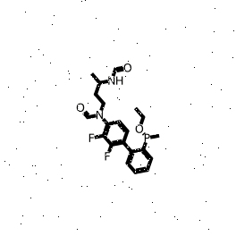 CCOP(C)c1ccccc1-c1ccc(N(C=O)CCC(C)NC=O)c(F)c1F